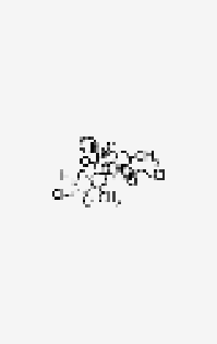 Cc1cc(C)c(C(=O)P(=O)(C(=O)c2c(C)cc(C)c(C(=O)CCCl)c2C)c2ccccc2)c(C)c1C(=O)CCCl